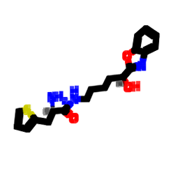 N[C@@H](Cc1cccs1)C(=O)NCCCC[C@H](O)c1nc2ccccc2o1